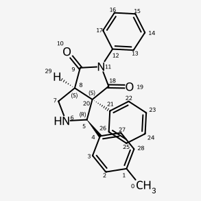 Cc1ccc([C@H]2NC[C@H]3C(=O)N(c4ccccc4)C(=O)[C@@]23c2ccccc2)cc1